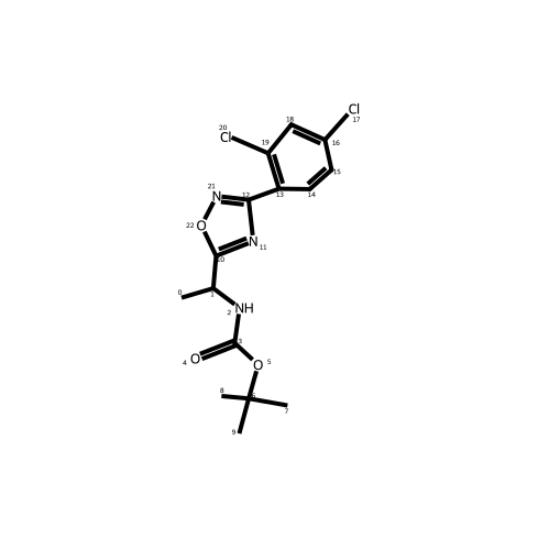 CC(NC(=O)OC(C)(C)C)c1nc(-c2ccc(Cl)cc2Cl)no1